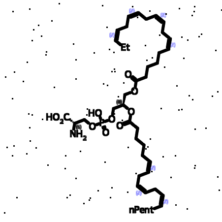 CC/C=C\C/C=C\C/C=C\C/C=C\CCCCC(=O)OC[C@H](COP(=O)(O)OC[C@H](N)C(=O)O)OC(=O)CCCC/C=C\C/C=C\C/C=C\CCCCC